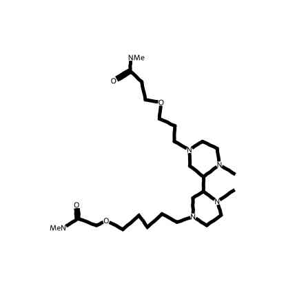 CNC(=O)CCOCCCN1CCN(C)C(C2CN(CCCCCOCC(=O)NC)CCN2C)C1